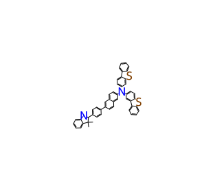 CC1(C)C(c2ccc(-c3ccc4cc(N(c5ccc6c(c5)sc5ccccc56)c5ccc6sc7ccccc7c6c5)ccc4c3)cc2)=Nc2ccccc21